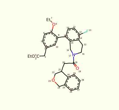 CCOC(=O)Cc1ccc(OCC)c(-c2ccc(F)c3c2CN(C(=O)CC2COCc4ccccc42)CC3)c1